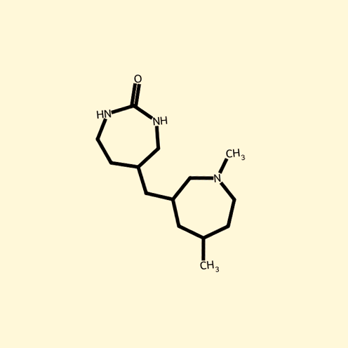 CC1CCN(C)CC(CC2CCNC(=O)NC2)C1